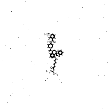 CC(C)OC(=O)CCCCCNC(=O)[C@@]1(c2ccccc2)CC[C@H](C(=O)N2CCC(NC(=O)c3cccn(C)c3=O)CC2)c2ccccc21